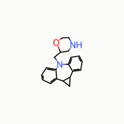 c1ccc2c(c1)C1CC1c1ccccc1N2CC1CNCCO1